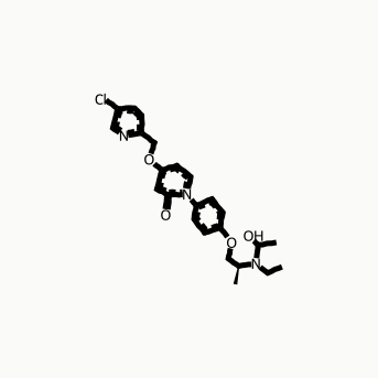 CCN(C(C)O)[C@@H](C)COc1ccc(-n2ccc(OCc3ccc(Cl)cn3)cc2=O)cc1